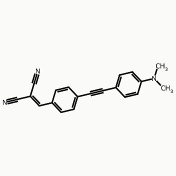 CN(C)c1ccc(C#Cc2ccc(C=C(C#N)C#N)cc2)cc1